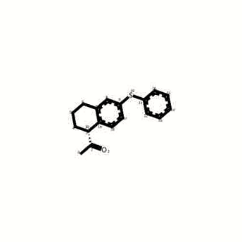 CC(=O)[C@@H]1CCCc2cc(Sc3ccccc3)ccc21